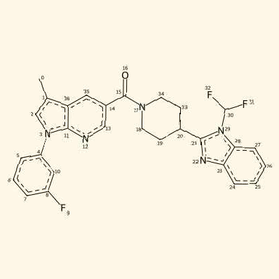 Cc1cn(-c2cccc(F)c2)c2ncc(C(=O)N3CCC(c4nc5ccccc5n4C(F)F)CC3)cc12